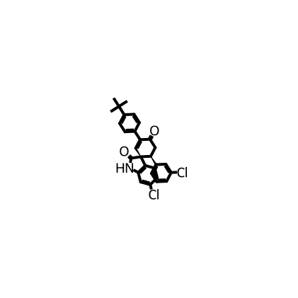 CC(C)(C)c1ccc(C2=C[C@@]3(C(=O)Nc4cc(Cl)ccc43)[C@H](c3cccc(Cl)c3)CC2=O)cc1